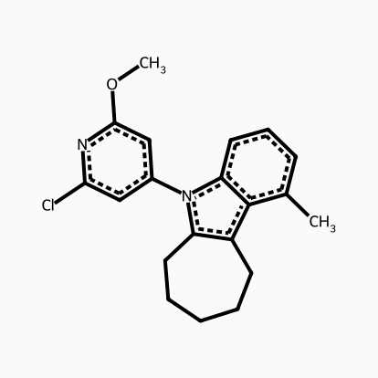 COc1cc(-n2c3c(c4c(C)cccc42)CCCCC3)cc(Cl)n1